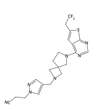 N#CCCn1cc(CN2CC3(CCN(c4ncnc5sc(CC(F)(F)F)cc45)C3)C2)cn1